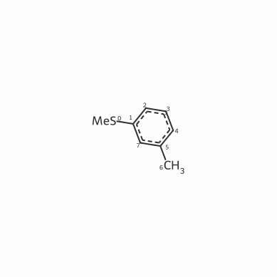 CSc1c[c]cc(C)c1